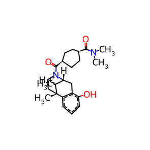 CN(C)C(=O)[C@H]1CC[C@@H](C(=O)N2CC[C@@]3(C)c4cccc(O)c4C[C@@H]2C3(C)C)CC1